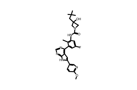 COc1ccc(-c2cc3c(-c4cc(F)cc(NC(=O)N5CC(O)(CC(C)(C)C)C5)c4C)ncnc3[nH]2)cn1